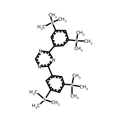 CS(C)(C)c1cc(-c2ncnc(-c3cc(S(C)(C)C)cc(S(C)(C)C)c3)n2)cc(S(C)(C)C)c1